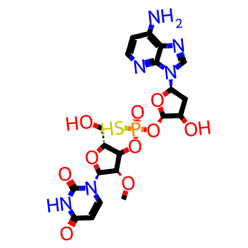 CO[C@H]1C(OP(=O)(S)O[C@H]2O[C@@H](n3cnc4c(N)ccnc43)CC2O)[C@@H](CO)O[C@H]1n1ccc(=O)[nH]c1=O